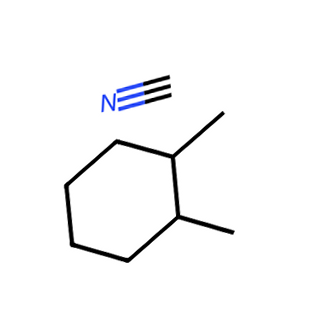 C#N.CC1CCCCC1C